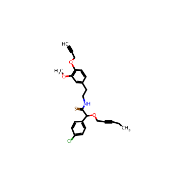 C#CCOc1ccc(CCNC(=S)C(OCC#CCC)c2ccc(Cl)cc2)cc1OC